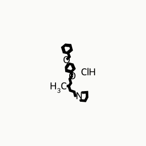 CC(CCCN1CCCCC1)CCOc1ccc(OCc2ccccc2)cc1.Cl